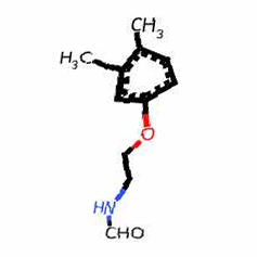 Cc1ccc(OCCNC=O)cc1C